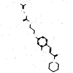 CC(C)=NOC(=S)NCCOc1ccc(/C=C/C(=O)N2CCCCC2)c(O)c1